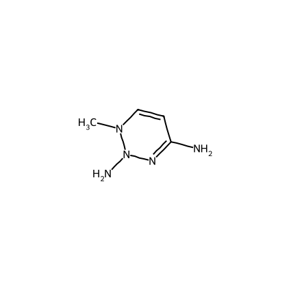 CN1C=CC(N)=NN1N